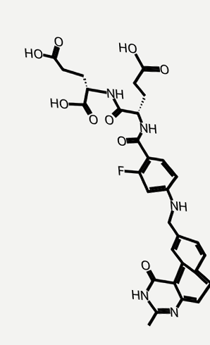 Cc1nc2ccc3ccc(CNc4ccc(C(=O)N[C@@H](CCC(=O)O)C(=O)N[C@@H](CCC(=O)O)C(=O)O)c(F)c4)cc3c2c(=O)[nH]1